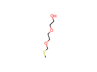 CSCOCCOCCO